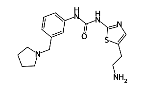 NCCc1cnc(NC(=O)Nc2cccc(CN3CCCC3)c2)s1